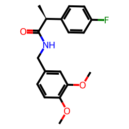 COc1ccc(CNC(=O)[C@@H](C)c2ccc(F)cc2)cc1OC